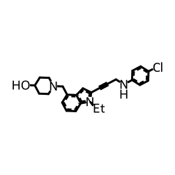 CCn1c(C#CCNc2ccc(Cl)cc2)cc2c(CN3CCC(O)CC3)cccc21